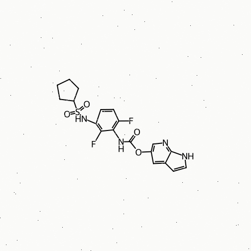 O=C(Nc1c(F)ccc(NS(=O)(=O)C2CCCC2)c1F)Oc1cnc2[nH]ccc2c1